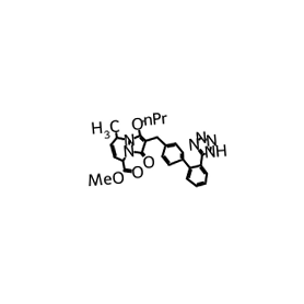 CCCOc1c(Cc2ccc(-c3ccccc3-c3nnn[nH]3)cc2)c(=O)n2n1C(C)C=CC2C(=O)OC